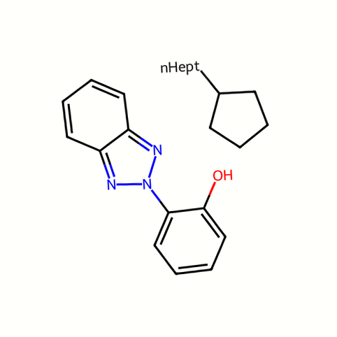 CCCCCCCC1CCCC1.Oc1ccccc1-n1nc2ccccc2n1